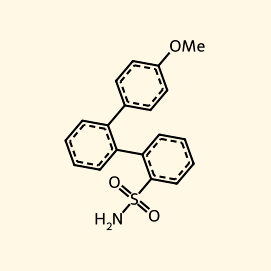 COc1ccc(-c2ccccc2-c2ccccc2S(N)(=O)=O)cc1